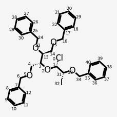 Cl[C@@H](O[C@H](COCc1ccccc1)[C@H](COCc1ccccc1)OCc1ccccc1)[C@@H](I)OCc1ccccc1